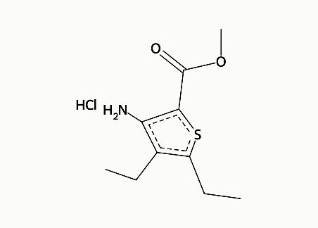 CCc1sc(C(=O)OC)c(N)c1CC.Cl